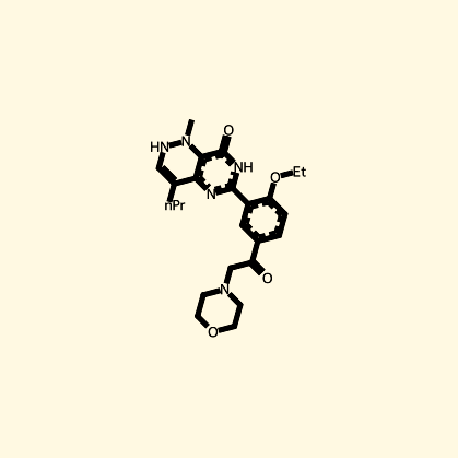 CCCC1=CNN(C)c2c1nc(-c1cc(C(=O)CN3CCOCC3)ccc1OCC)[nH]c2=O